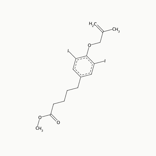 C=C(C)COc1c(I)cc(CCCCC(=O)OC)cc1I